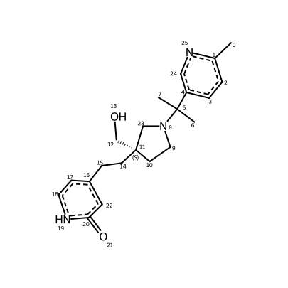 Cc1ccc(C(C)(C)N2CC[C@@](CO)(CCc3cc[nH]c(=O)c3)C2)cn1